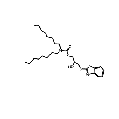 CCCCCCCCN(CCCCCCCC)C(=O)SCC(O)CSc1nc2ccccc2s1